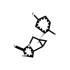 Fc1ccc(F)c([C@]23CC2c2c[nH]c(=S)n2C3)c1